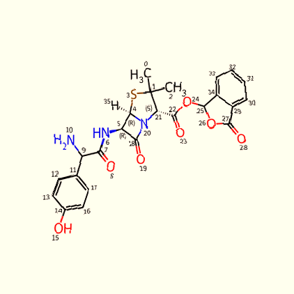 CC1(C)S[C@@H]2[C@H](NC(=O)C(N)c3ccc(O)cc3)C(=O)N2[C@H]1C(=O)OC1OC(=O)c2ccccc21